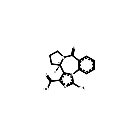 Cc1nc(C(=O)O)c2n1-c1ccccc1C(=O)N1CCC[C@@H]21